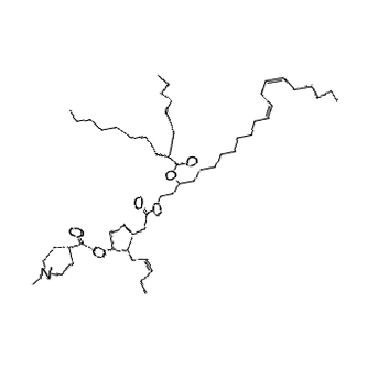 CC/C=C\CC1C(CC(=O)OCCC(CCCCCCCC/C=C\C/C=C\CCCCC)OC(=O)C(CCCCCC)CCCCCCCC)CCC1OC(=O)C1CCN(C)CC1